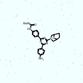 CNC(=O)Nc1ccc(-c2nc(-c3ccc(N)cc3)nc(N3CC4CCC(C3)O4)n2)cc1